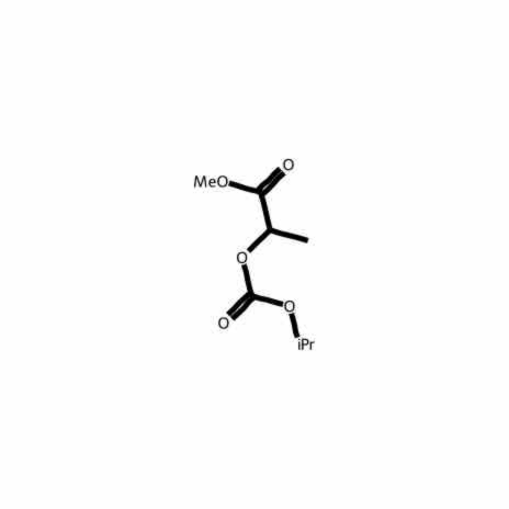 COC(=O)C(C)OC(=O)OC(C)C